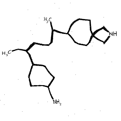 CC(CCC(C)C1CCC2(CC1)CNC2)C1CCC(N)CC1